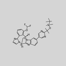 CC(C)(O[Si](C)(C)C(C)(C)C)c1ncc(-c2ccc3nc4n(c3c2)[C@@H]2C[C@H]4n3ccnc3-c3cccc(OC(F)F)c32)cn1